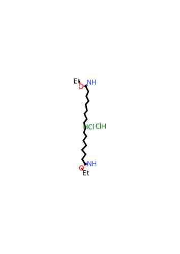 CCOC(=N)CCCCCCCCCCCCCCCCC(=N)OCC.Cl.Cl